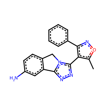 Cc1onc(-c2ccccc2)c1-c1nnc2n1Cc1ccc(N)cc1-2